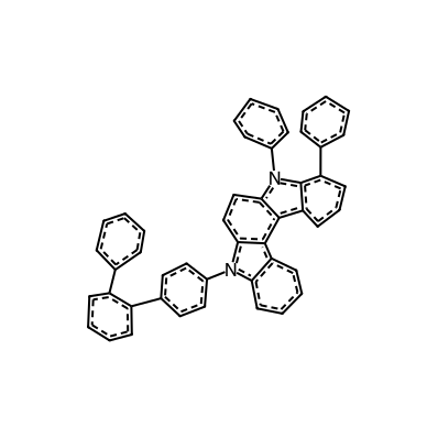 c1ccc(-c2ccccc2-c2ccc(-n3c4ccccc4c4c5c6cccc(-c7ccccc7)c6n(-c6ccccc6)c5ccc43)cc2)cc1